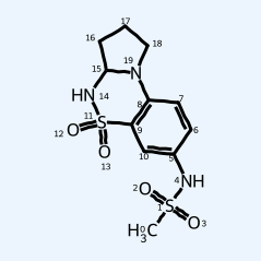 CS(=O)(=O)Nc1ccc2c(c1)S(=O)(=O)NC1CCCN21